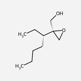 CCCC[C@H](CC)[C@]1(CO)CO1